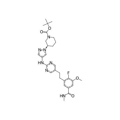 CNC(=O)c1cc(CCc2cnc(Nc3cnn([C@@H]4CCCN(C(=O)OC(C)(C)C)C4)c3)nc2)c(F)c(OC)c1